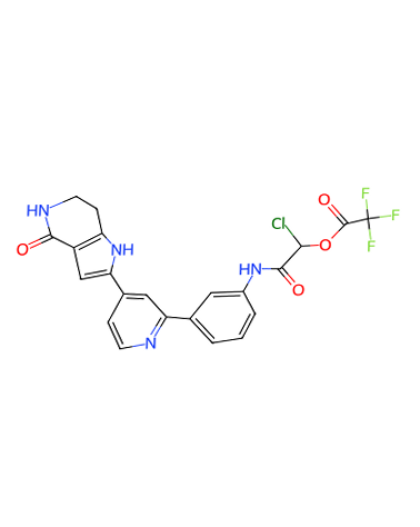 O=C1NCCc2[nH]c(-c3ccnc(-c4cccc(NC(=O)C(Cl)OC(=O)C(F)(F)F)c4)c3)cc21